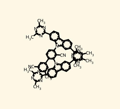 Cc1nc(C)nc(-c2ccc3c4ccc(-c5nc(C)nc(C)n5)cc4n(-c4ccc(-c5cc(C#N)cc(C(F)(F)F)c5)c(-n5c6cc(-c7nc(C)nc(C)n7)ccc6c6ccc(-c7nc(C)nc(C)n7)cc65)c4C#N)c3c2)n1